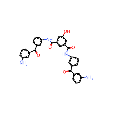 Nc1cccc(C(=O)c2cccc(NC(=O)c3cc(O)cc(C(=O)Nc4cccc(C(=O)c5cccc(N)c5)c4)c3)c2)c1